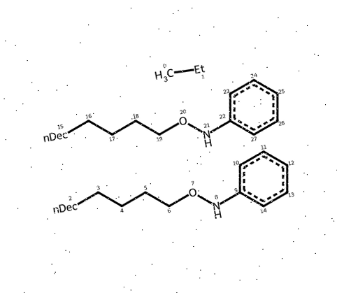 CCC.CCCCCCCCCCCCCCONc1ccccc1.CCCCCCCCCCCCCCONc1ccccc1